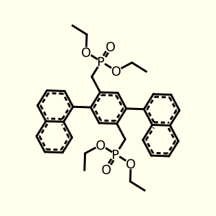 CCOP(=O)(Cc1cc(-c2cccc3ccccc23)c(CP(=O)(OCC)OCC)cc1-c1cccc2ccccc12)OCC